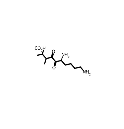 CC(C(=O)O)C(C)C(=O)C(=O)[C@@H](N)CCCCN